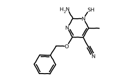 CC1=C(C#N)C(OCc2ccccc2)=NC(N)N1S